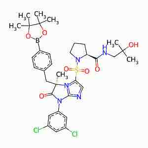 CC(C)(O)CNC(=O)[C@@H]1CCCN1S(=O)(=O)c1cnc2n1[C@](C)(Cc1ccc(B3OC(C)(C)C(C)(C)O3)cc1)C(=O)N2c1cc(Cl)cc(Cl)c1